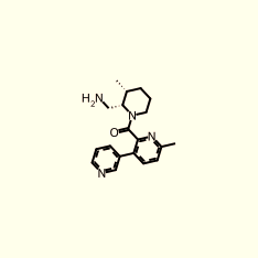 Cc1ccc(-c2cccnc2)c(C(=O)N2CCC[C@@H](C)[C@H]2CN)n1